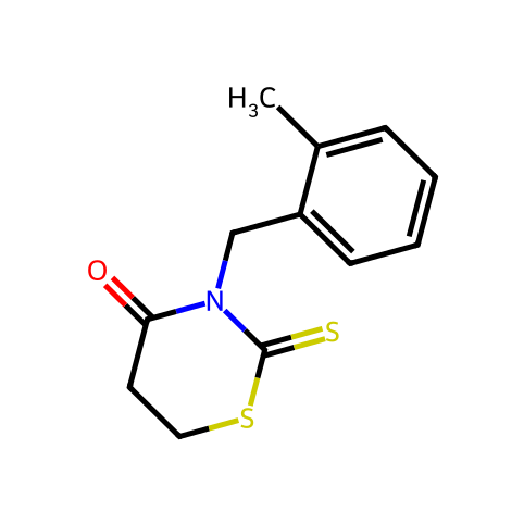 Cc1ccccc1CN1C(=O)CCSC1=S